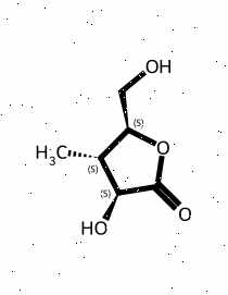 C[C@H]1[C@H](O)C(=O)O[C@@H]1CO